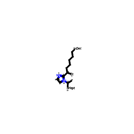 CCCCCCCCCCCCCCCC(CC)c1[nH]cc[n+]1C(C)CCCCCCC